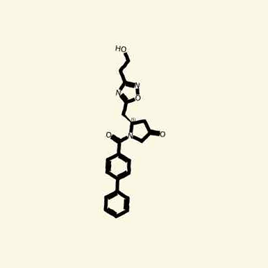 O=C1C[C@H](Cc2nc(CCO)no2)N(C(=O)c2ccc(-c3ccccc3)cc2)C1